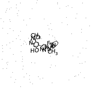 CN1C2CCC1[C@H](F)[C@H](N(C)c1ccc(-c3cc4c(=O)n(C)cnc4cc3O)nn1)C2